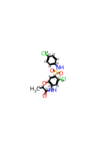 CC1Oc2cc(S(=O)(=O)Nc3ccc(Cl)cc3)c(Cl)cc2NC1=O